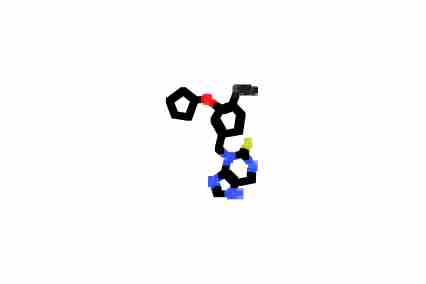 COc1ccc(Cn2c(=S)ncc3[nH]cnc32)cc1OC1CCCC1